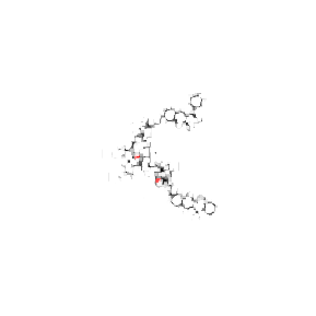 CC[C@H](C)CC(CC)(CC(CC)(CC)OCCC(CC)(CC)OC(=O)COc1ccc2cc(C(=O)c3ccccc3)c(=O)oc2c1)CC(CC)(CC)OCCC(CC)(CC)OC(=O)COc1ccc2cc(C(=O)c3ccccc3)c(=O)oc2c1